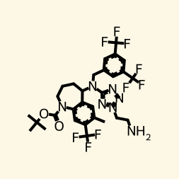 Cc1cc2c(cc1C(F)(F)F)N(C(=O)OC(C)(C)C)CCCC2N(Cc1cc(C(F)(F)F)cc(C(F)(F)F)c1)c1nnn(CCN)n1